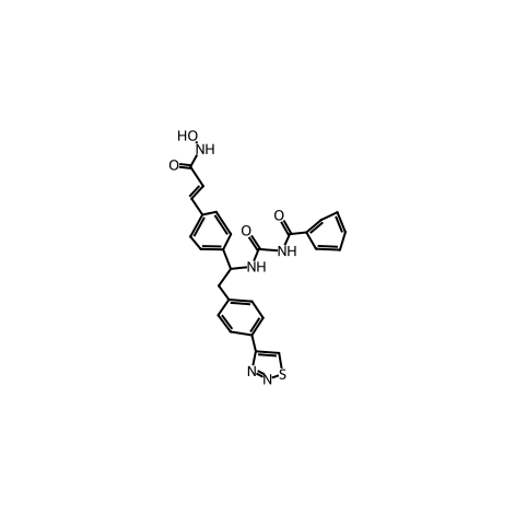 O=C(C=Cc1ccc(C(Cc2ccc(-c3csnn3)cc2)NC(=O)NC(=O)c2ccccc2)cc1)NO